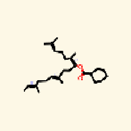 C/C=C(\C)CC/C=C(\C)CC/C(OC(=O)C1CCCCC1)=C(/C)CCC=C(C)C